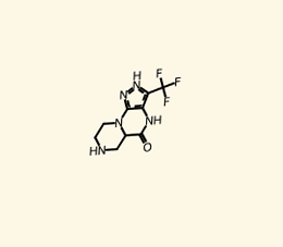 O=C1Nc2c(n[nH]c2C(F)(F)F)N2CCNCC12